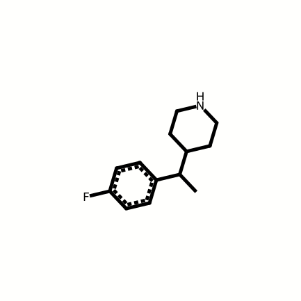 CC(c1ccc(F)cc1)C1CCNCC1